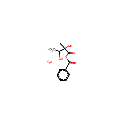 CC(O)(C(=O)OC(=O)c1ccccc1)C(O)C(=O)O.O